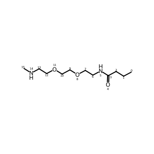 CCCC(=O)NCCOCCOCCNC